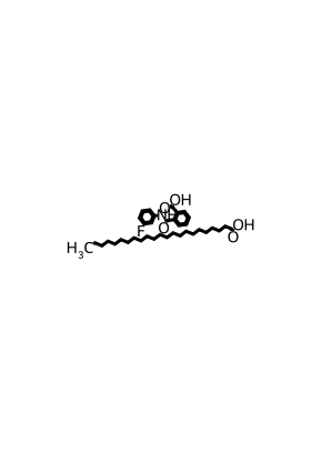 CCCCCCCCCCCCCCCCCCCCCCC(=O)O.O=C(O)c1ccccc1C(=O)Nc1cccc(F)c1